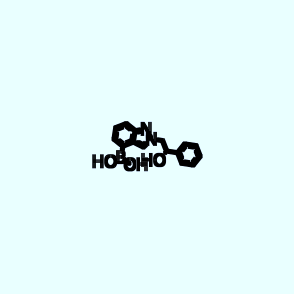 OB(O)c1cccc2nn(C[C@H](O)c3ccccc3)cc12